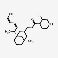 C=C(/C=C\C=C/C)[C@]12CCC[C@](C)(CC(CCC(=O)N3CCNCC3CC)C1)C2